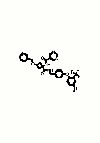 COc1ccc(Oc2ccc(CNC(=O)C3(NC(=O)c4cncnc4)CC(OCc4ccccc4)C3)cc2)c(C(F)(F)F)c1